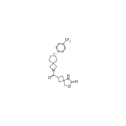 O=C1NC2(CO1)CC(C(=O)N1CC3(CC[C@H](c4ccc(C(F)(F)F)cc4)C3)C1)C2